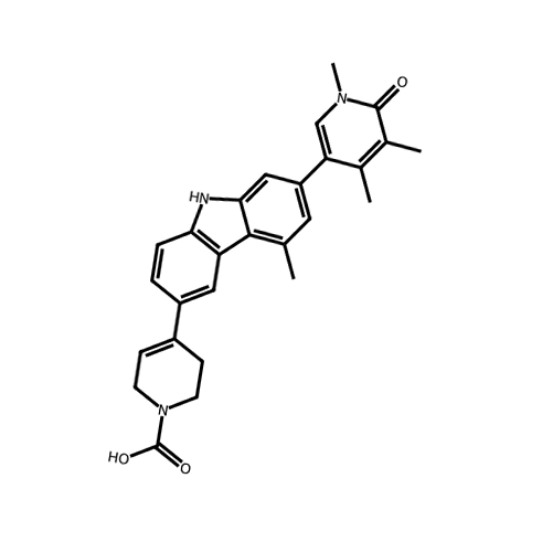 Cc1c(-c2cc(C)c3c(c2)[nH]c2ccc(C4=CCN(C(=O)O)CC4)cc23)cn(C)c(=O)c1C